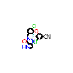 N#Cc1cc(Cl)cc(Oc2c(Cl)ccc(Cn3cnc4cc[nH]c4c3=O)c2F)c1